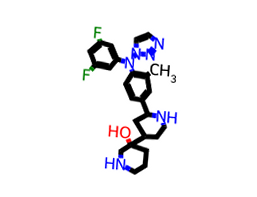 Cc1cc(C2CC(C3(O)CCCNC3)CCN2)ccc1N(c1cc(F)cc(F)c1)n1ccnn1